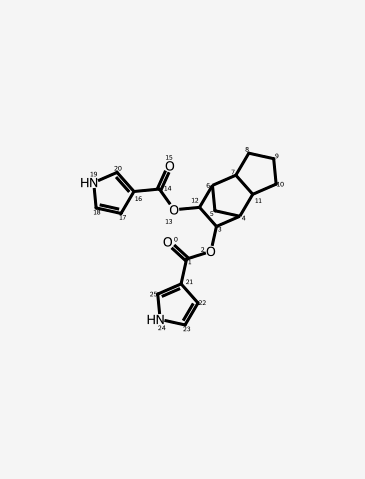 O=C(OC1C2CC(C3CCCC32)C1OC(=O)c1cc[nH]c1)c1cc[nH]c1